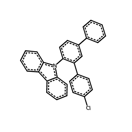 Clc1ccc(-c2cc(-c3ccccc3)ccc2-n2c3ccccc3c3ccccc32)cc1